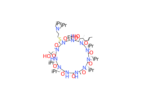 C/C=C/C[C@@H](C)[C@@H](O)[C@H]1C(=O)N[C@@H](CC)C(=O)N(C)[C@H](CSCCCN(CC(C)C)CC(C)C)C(=O)N(C)[C@@H](CC(C)(C)O)C(=O)N[C@@H](C(C)C)C(=O)N(C)[C@@H](CC(C)C)C(=O)N[C@@H](C)C(=O)N[C@H](C)C(=O)N(C)[C@@H](CC(C)C)C(=O)N(C)[C@@H](CC(C)C)C(=O)N(C)[C@@H](C(C)C)C(=O)N1C